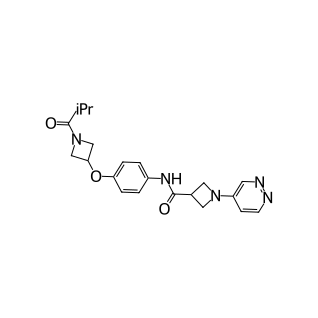 CC(C)C(=O)N1CC(Oc2ccc(NC(=O)C3CN(c4ccnnc4)C3)cc2)C1